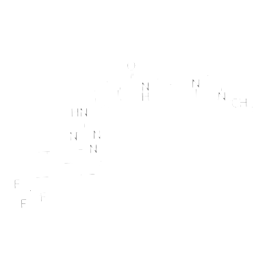 CN1CCN(CCCNC(=O)c2ccc(Nc3nc4c(-c5cccc(C(F)(F)F)c5)cccn4n3)cc2)CC1